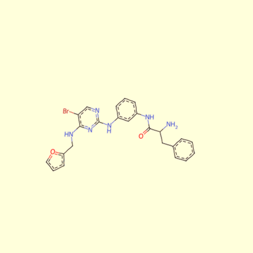 NC(Cc1ccccc1)C(=O)Nc1cccc(Nc2ncc(Br)c(NCc3ccco3)n2)c1